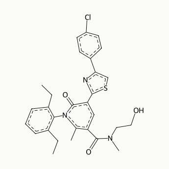 CCc1cccc(CC)c1-n1c(C)c(C(=O)N(C)CCO)cc(-c2nc(-c3ccc(Cl)cc3)cs2)c1=O